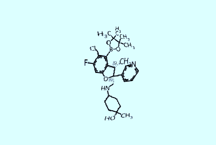 C[C@H]1c2c(cc(F)c(Cl)c2B2OC(C)(C)C(C)(C)O2)O[C@]1(CNC1CCC(C)(O)CC1)c1cccnc1